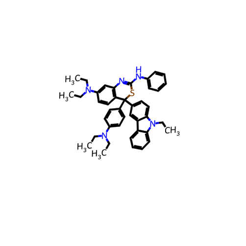 CCN(CC)c1ccc(C2(c3ccc4c(c3)c3ccccc3n4CC)SC(Nc3ccccc3)=Nc3cc(N(CC)CC)ccc32)cc1